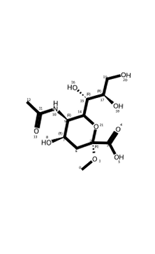 CO[C@]1(C(=O)O)C[C@@H](O)[C@@H](NC(C)=O)C([C@H](O)[C@H](O)CO)O1